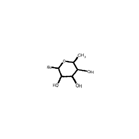 CCC(C)C1OC(C)C(O)C(O)C1O